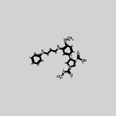 COC(=O)N1C[C@@H](C(=O)O)[C@H](c2ccc(OC)c(OCCCOc3ccccc3)c2)C1